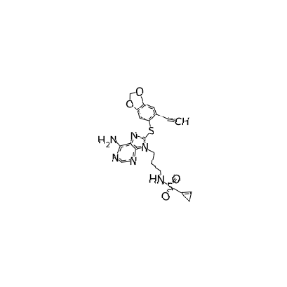 C#Cc1cc2c(cc1Sc1nc3c(N)ncnc3n1CCCNS(=O)(=O)C1=CC1)OCO2